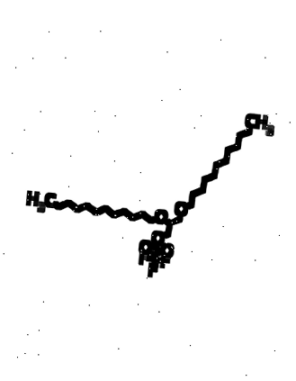 CCCCCCCCCCCCOC[C@@H](COS(=O)(=O)C(F)(F)F)OCCCCCCCCCCCC